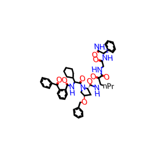 CCCC(NC(=O)[C@@H]1C[C@@H](OCc2ccccc2)CN1C(=O)C(NC(=O)c1ccccc1C(=O)c1ccccc1)C1CCCCC1)C(=O)C(=O)NCC(=O)NC(C(N)=O)c1ccccc1